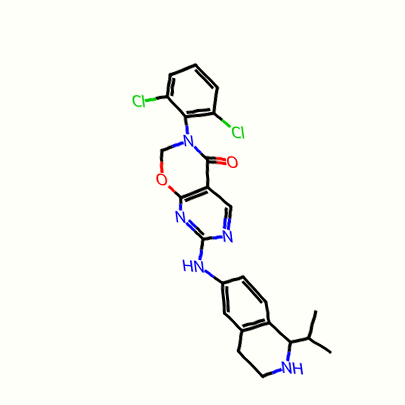 CC(C)C1NCCc2cc(Nc3ncc4c(n3)OCN(c3c(Cl)cccc3Cl)C4=O)ccc21